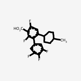 CC1CCC(c2cc(F)c(C(=O)O)c(F)c2-c2cc(F)c(F)c(F)c2)CC1